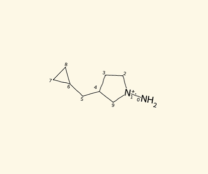 N[N+]1CCC(CC2CC2)C1